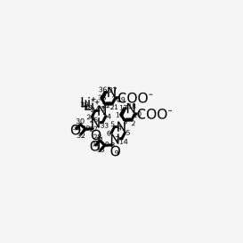 O=C([O-])c1cc(N2CCN(C(=O)C3COC3)CC2)ccn1.O=C([O-])c1cc(N2CCN(C(=O)C3COC3)CC2)ccn1.[Li+].[Li+]